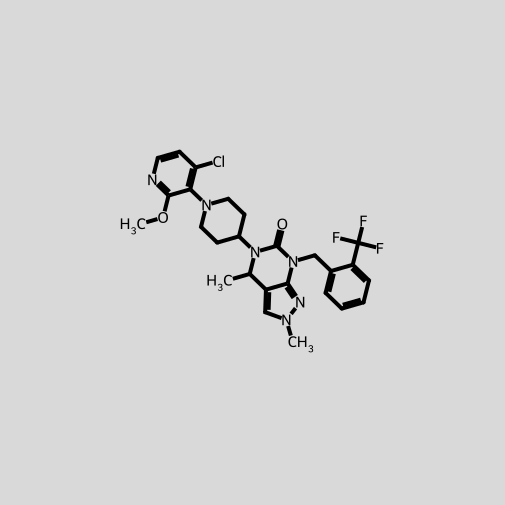 COc1nccc(Cl)c1N1CCC(N2C(=O)N(Cc3ccccc3C(F)(F)F)c3nn(C)cc3C2C)CC1